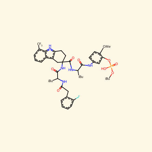 CCC(C)OP(=O)(O)Oc1cc(NC(=O)C(NC(=O)C2(NC(=O)C(NC(=O)Cc3ccccc3F)C(C)CC)CCc3[nH]c4c(C(F)(F)F)cccc4c3C2)C(C)CC)ccc1OC